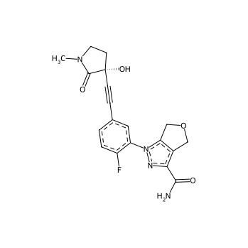 CN1CC[C@@](O)(C#Cc2ccc(F)c(-n3nc(C(N)=O)c4c3COC4)c2)C1=O